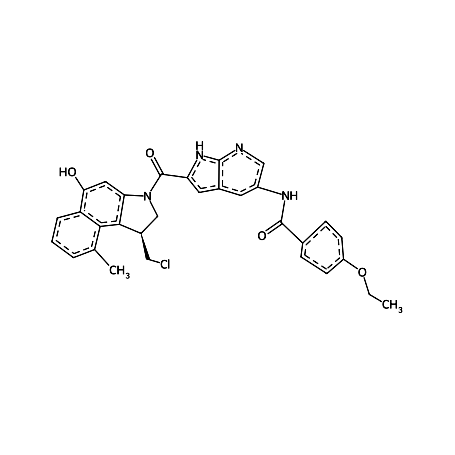 CCOc1ccc(C(=O)Nc2cnc3[nH]c(C(=O)N4C[C@@H](CCl)c5c4cc(O)c4cccc(C)c54)cc3c2)cc1